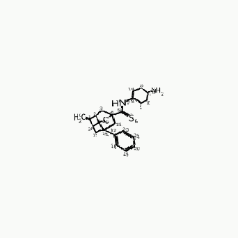 C=C1C2CC3(C(=S)NC4CCC(N)CC4)CC4(c5ccccc5)CC1C24C3